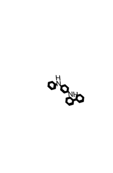 C1=CCCC(N[C@H]2C=C[C@@H](NC3CCC=CC3C3C=CCCC3)CC2)=C1